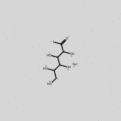 O=C([S-])C(O)C(O)C(O)C(O)CO.[Na+]